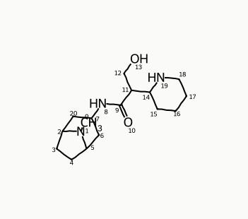 CN1C2CCC1CC(NC(=O)C(CO)C1CCCCN1)C2